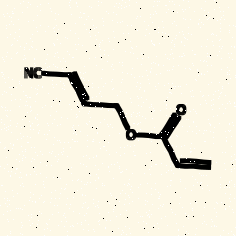 C=CC(=O)OCC=CC#N